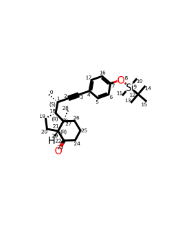 C[C@H](C#Cc1ccc(O[Si](C)(C)C(C)(C)C)cc1)[C@H]1CC[C@H]2C(=O)CCC[C@]12C